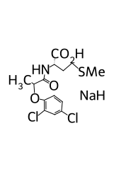 CSCC[C@H](NC(=O)C(C)Oc1ccc(Cl)cc1Cl)C(=O)O.[NaH]